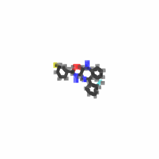 O=C(NC1N=C(c2ccccc2F)c2ccccc2NC1=O)C1=CC(=S)CC=C1